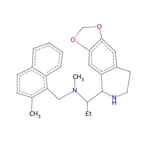 CCC(C1NCCc2cc3c(cc21)OCO3)N(C)Cc1c(C)ccc2ccccc12